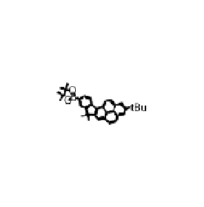 CC(C)(C)c1cc2ccc3cc4c(c5ccc(c1)c2c35)-c1ccc(B2OC(C)(C)C(C)(C)O2)cc1C4(C)C